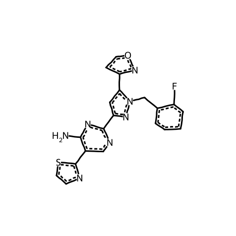 Nc1nc(-c2cc(-c3ccon3)n(Cc3ccccc3F)n2)ncc1-c1nccs1